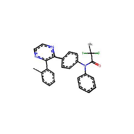 CCCC(F)(F)C(=O)N(c1ccccc1)c1ccc(-c2nccnc2-c2ccccc2C)cc1